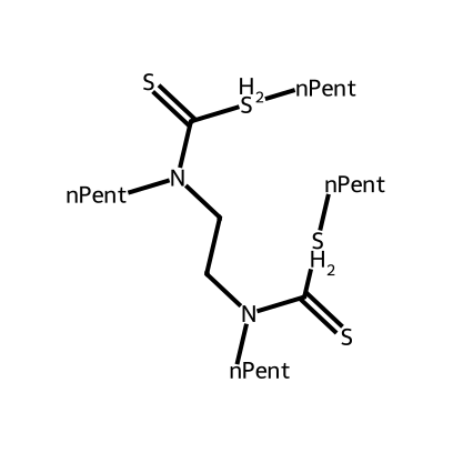 CCCCC[SH2]C(=S)N(CCCCC)CCN(CCCCC)C(=S)[SH2]CCCCC